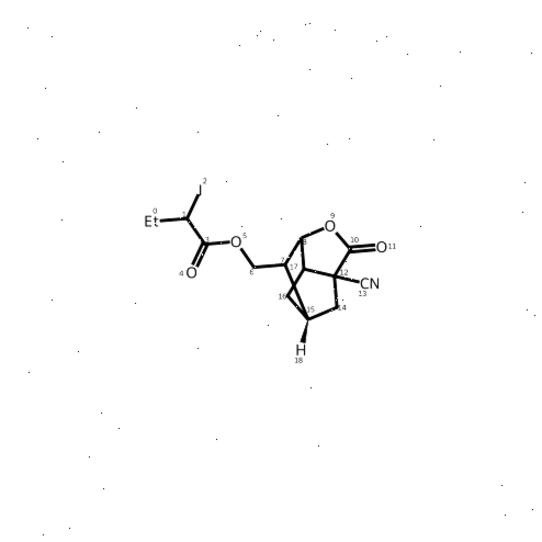 CCC(I)C(=O)OCC1C2OC(=O)C3(C#N)C[C@@H]1CC23